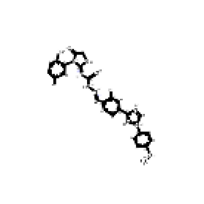 Cc1ccc(C(C)C)c(N2C(=O)CS/C2=N\C(=O)N/N=C/c2ccc(-c3ncn(-c4ccc(OC(F)(F)F)cc4)n3)cc2C)c1